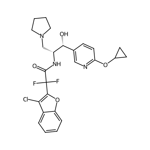 O=C(N[C@H](CN1CCCC1)[C@H](O)c1ccc(OC2CC2)nc1)C(F)(F)c1oc2ccccc2c1Cl